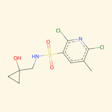 Cc1cc(S(=O)(=O)NCC2(O)CC2)c(Cl)nc1Cl